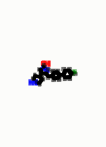 On1cc(C2CCNCC2)c(Cc2ccc(-c3ccc(F)cc3)cc2)n1